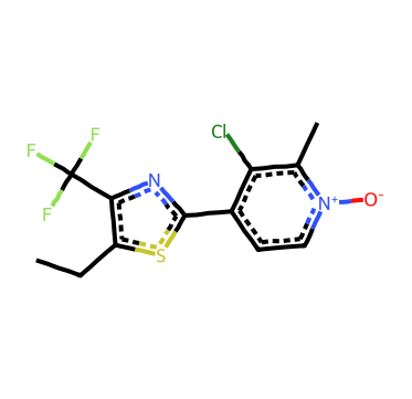 CCc1sc(-c2cc[n+]([O-])c(C)c2Cl)nc1C(F)(F)F